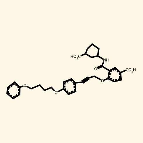 O=C(O)c1ccc(OCC#Cc2ccc(OCCCCOc3ccccc3)cc2)c(C(=O)NC2CCCC(C(=O)O)C2)c1